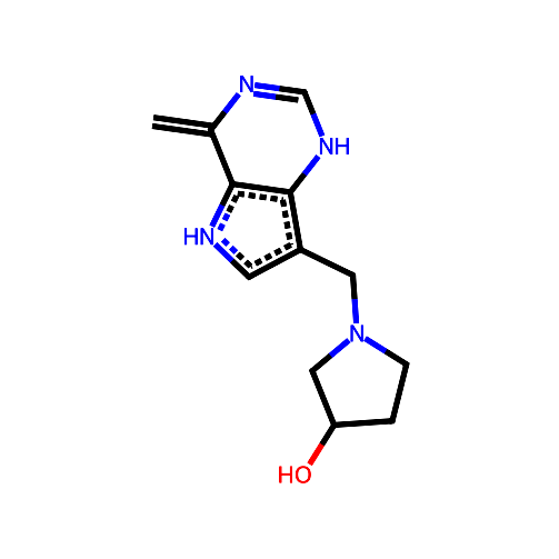 C=C1N=CNc2c(CN3CCC(O)C3)c[nH]c21